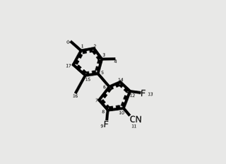 Cc1cc(C)c(-c2cc(F)c(C#N)c(F)c2)c(C)c1